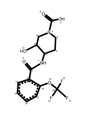 O=C(NC1CCN(C(=O)O)CC1O)c1ccccc1OC(F)(F)F